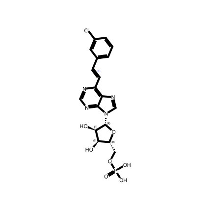 O=P(O)(O)OC[C@H]1O[C@@H](n2cnc3c(/C=C/c4cccc(Cl)c4)ncnc32)[C@H](O)[C@@H]1O